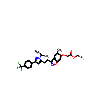 CCOC(=O)COc1cc2onc(CCc3cc(-c4ccc(C(F)(F)F)cc4)nn3C(C)C)c2cc1C